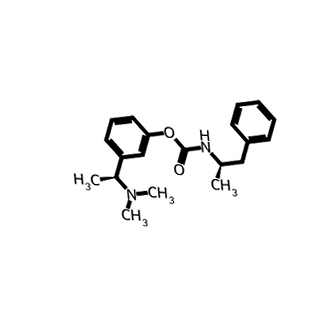 C[C@H](Cc1ccccc1)NC(=O)Oc1cccc([C@H](C)N(C)C)c1